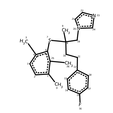 Cc1ccc(C)c(SC(C)(CCc2ccc(F)cc2)Cn2ccnc2)c1C